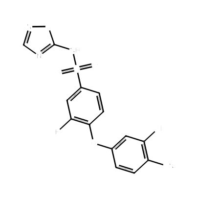 N#Cc1ccc(Oc2ccc(S(=O)(=O)Nc3ncns3)cc2F)cc1Cl